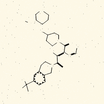 C=C(/C(C)=C(\N=C/N)C(=O)N1CCC(N[C@H]2CCOC[C@H]2OC)CC1)N1CCc2cc(C(F)(F)F)ccc2C1